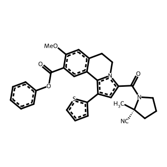 COc1cc2c(cc1C(=O)Oc1ccccc1)-c1c(-c3cccs3)cc(C(=O)N3CCC[C@]3(C)C#N)n1CC2